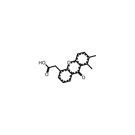 Cc1ccc2oc3c(CC(=O)O)cccc3c(=O)c2c1C